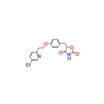 CCc1ccc(CCOc2ccc(CC3OC(=O)NC3=O)cc2)nc1